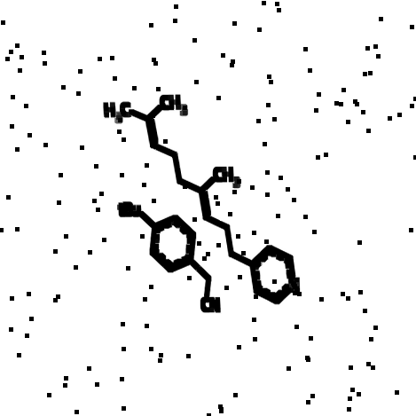 CC(C)(C)c1ccc(CC#N)cc1.CC(C)=CCC/C(C)=C/CCc1ccncc1